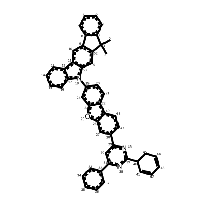 CC1(C)c2ccccc2-c2cc3c4ccccc4n(-c4ccc5c(c4)oc4cc(-c6cc(-c7ccccc7)nc(C7C=CC=CC7)n6)ccc45)c3cc21